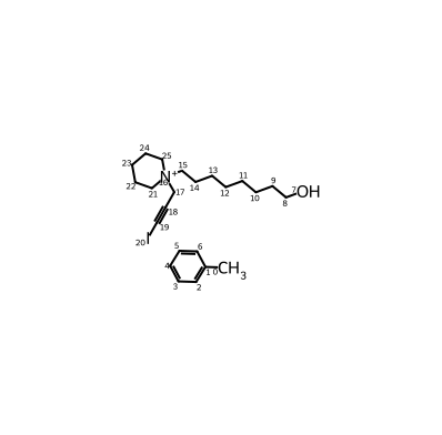 Cc1ccccc1.OCCCCCCCC[N+]1(CC#CI)CCCCC1